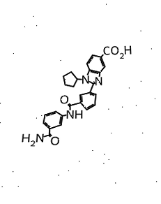 NC(=O)c1cccc(NC(=O)c2cccc(-c3nc4cc(C(=O)O)ccc4n3C3CCCC3)c2)c1